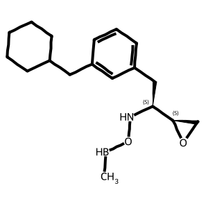 CBON[C@@H](Cc1cccc(CC2CCCCC2)c1)[C@H]1CO1